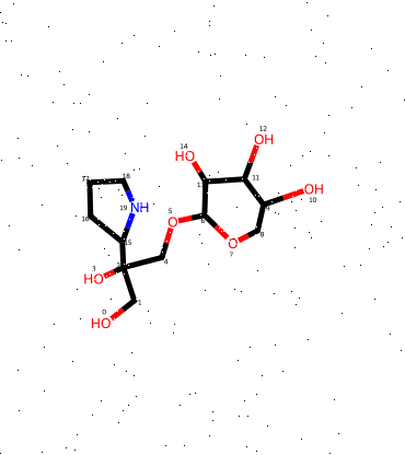 OCC(O)(COC1OCC(O)C(O)C1O)C1CCCN1